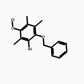 CCOc1c(C)c(C)c(OCc2ccccc2)c(C(C)=O)c1C